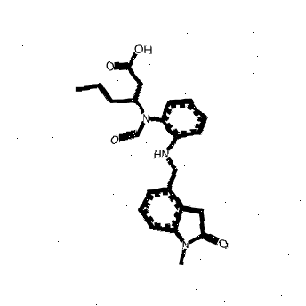 CCCC(CC(=O)O)N(C=O)c1ccccc1NCc1cccc2c1CC(=O)N2C